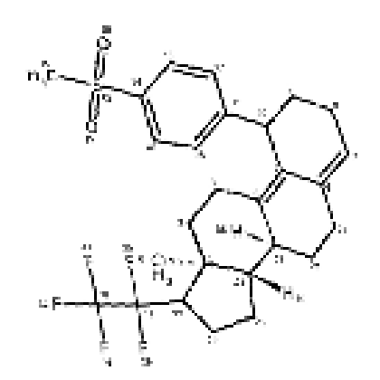 C[C@]12CCC3=C4C(=CCCC4c4ccc(S(C)(=O)=O)cc4)CC[C@H]3[C@@H]1CCC2C(F)(F)C(F)(F)F